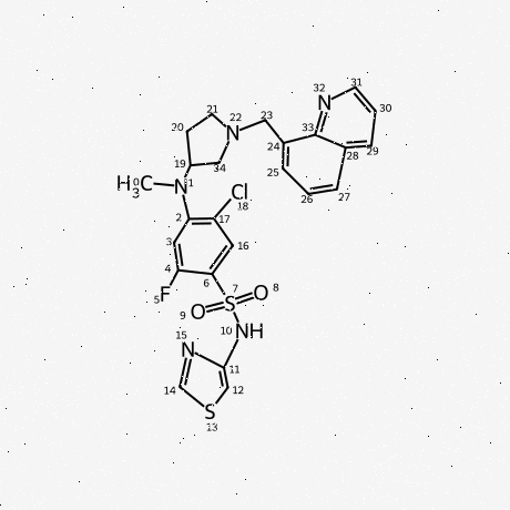 CN(c1cc(F)c(S(=O)(=O)Nc2cscn2)cc1Cl)C1CCN(Cc2cccc3cccnc23)C1